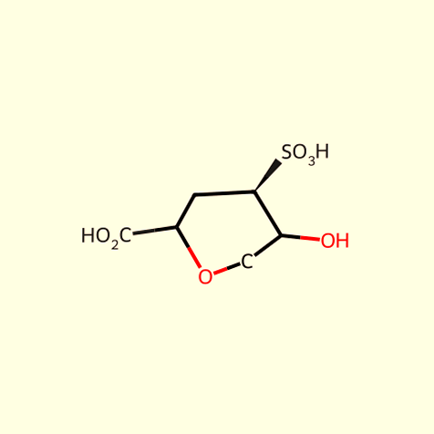 O=C(O)C1C[C@@H](S(=O)(=O)O)C(O)CO1